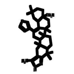 CC1(C)CCC2(C(=O)O)CCC3(C)C(=C(c4ccoc4)CC4C5(C)Cc6c(n[nH]c6N)C(C)(C)C5CCC43C)C2C1